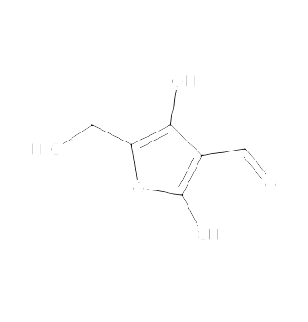 CCc1oc(C)c(C=O)c1O